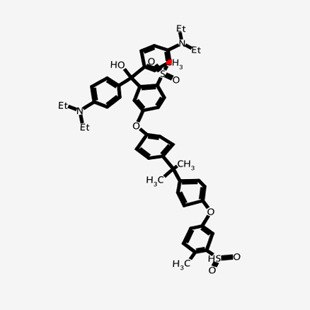 CCN(CC)c1ccc(C(O)(c2ccc(N(CC)CC)cc2)c2cc(Oc3ccc(C(C)(C)c4ccc(Oc5ccc(C)c([SH](=O)=O)c5)cc4)cc3)ccc2S(C)(=O)=O)cc1